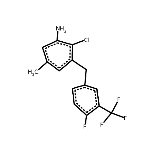 Cc1cc(N)c(Cl)c(Cc2ccc(F)c(C(F)(F)F)c2)c1